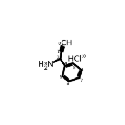 C#CC(N)c1ccccc1.Cl